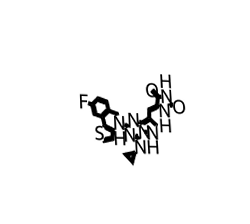 O=C1NC(=O)/C(=C/c2cnn3c(NC4CC4)nc(NCc4ccc(F)cc4-c4cccs4)nc23)N1